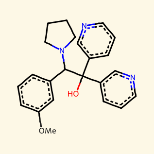 COc1cccc(C(N2CCCC2)C(O)(c2cccnc2)c2cccnc2)c1